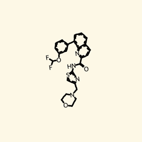 O=C(Nc1nc(CN2CCOCC2)cs1)c1ccc2cccc(-c3cccc(OC(F)F)c3)c2n1